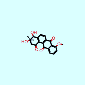 COc1cccc2c1C(=O)c1ccc3c(c1C2=O)C(=O)C[C@](C)(O)C3O